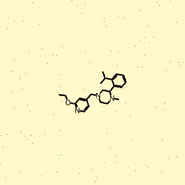 CCOc1cc(CN2CCN(C)C(c3ccccc3C(C)C)C2)ccn1